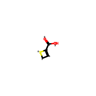 O=C(O)C1=CCS1